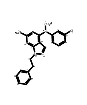 CSc1nc(N(C(=O)O)c2cccc(Cl)c2)c2cnn(CCc3ccccc3)c2n1